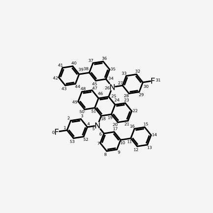 Fc1ccc(N(c2cccc(-c3ccccc3)c2)c2c3ccccc3c(N(c3ccc(F)cc3)c3cccc(-c4ccccc4)c3)c3ccccc23)cc1